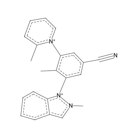 Cc1c(-[n+]2ccccc2C)cc(C#N)cc1-[n+]1c2ccccc2cn1C